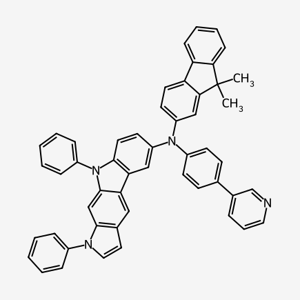 CC1(C)c2ccccc2-c2ccc(N(c3ccc(-c4cccnc4)cc3)c3ccc4c(c3)c3cc5ccn(-c6ccccc6)c5cc3n4-c3ccccc3)cc21